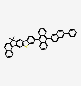 CC1(C)c2cc3c(cc2-c2c1ccc1ccccc21)sc1cc(-c2c4ccccc4c(-c4ccc5cc(-c6ccccc6)ccc5c4)c4ccccc24)ccc13